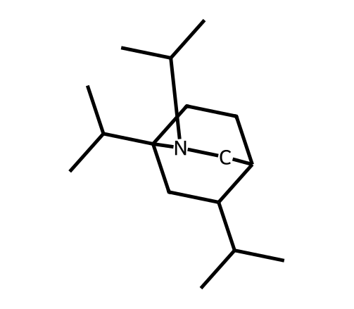 CC(C)C1CC2(C(C)C)CCC1CN2C(C)C